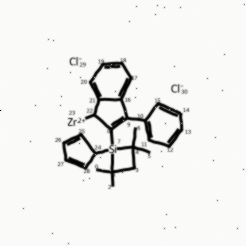 CC1(C)CC(C)(C)[Si]1(C1=C(c2ccccc2)c2ccccc2[CH]1[Zr+2])C1C=CC=C1.[Cl-].[Cl-]